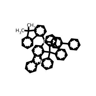 CC1(C)c2ccccc2-c2c(N(c3ccc(-c4ccccc4)cc3)c3ccc4c(oc5ccccc54)c3C3(c4ccccc4)c4ccccc4-c4ccccc43)cccc21